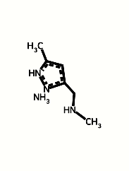 CNCc1cc(C)[nH]n1.N